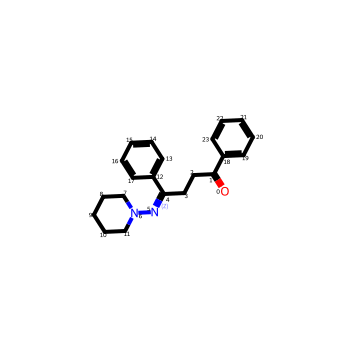 O=C(CC/C(=N/N1CCCCC1)c1ccccc1)c1ccccc1